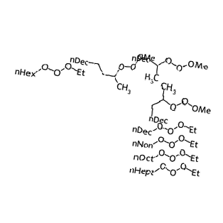 CCCCCCCCCCC(C)OOOC.CCCCCCCCCCCC(C)OOOC.CCCCCCCCCCCCC(C)OOOC.CCCCCCCCCCOOOCC.CCCCCCCCCOOOCC.CCCCCCCCOOOCC.CCCCCCCOOOCC.CCCCCCOOOCC